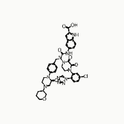 O=C(O)c1cc2cc(NC(=O)[C@H](Cc3ccc(N4CCN(C5CCCOC5)CC4=O)cc3)N3CCN(c4cc(Cl)ccc4-n4cnnn4)C(=O)C3=O)ccc2[nH]1